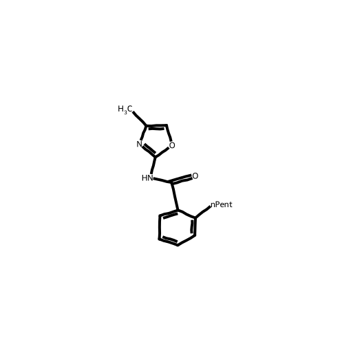 CCCCCc1ccccc1C(=O)Nc1nc(C)co1